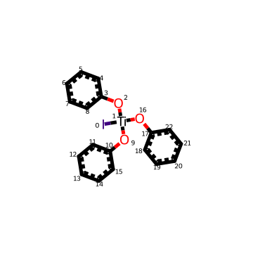 [I][Ti]([O]c1ccccc1)([O]c1ccccc1)[O]c1ccccc1